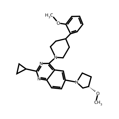 COc1ccccc1C1CCN(c2nc(C3CC3)nc3ccc(N4CC[C@H](OC)C4)cc23)CC1